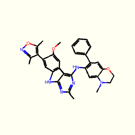 COc1cc2c(cc1-c1c(C)noc1C)[nH]c1nc(C)nc(Nc3cc4c(cc3-c3ccccc3)OCCN4C)c12